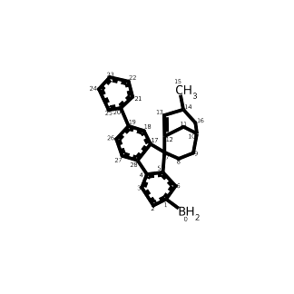 Bc1ccc2c(c1)C1(CCC3CC1=CC(C)C3)c1cc(-c3ccccc3)ccc1-2